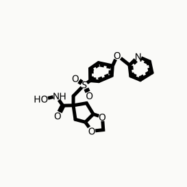 O=C(NO)C1(CS(=O)(=O)c2ccc(Oc3ccccn3)cc2)CC2OCOC2C1